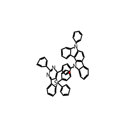 c1ccc(-c2nc(-c3ccc(-n4c5ccccc5c5ccc6c(c7ccccc7n6-c6ccccc6)c54)cc3)c3c(n2)-c2ccccc2[Si]3(c2ccccc2)c2ccccc2)cc1